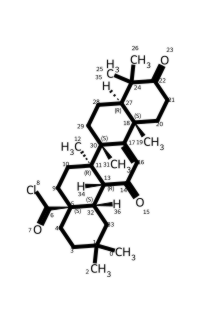 CC1(C)CC[C@]2(C(=O)Cl)CC[C@]3(C)[C@H](C(=O)C=C4[C@@]5(C)CCC(=O)C(C)(C)[C@@H]5CC[C@]43C)[C@@H]2C1